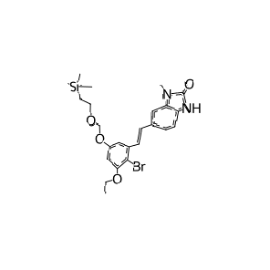 CCOc1cc(OCOCC[Si](C)(C)C)cc(/C=C/c2ccc3[nH]c(=O)n(C)c3c2)c1Br